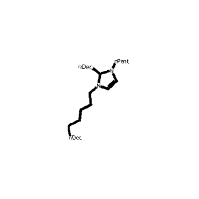 CCCCCCCCCCCCCCCN1C=CN(CCCCC)C1CCCCCCCCCC